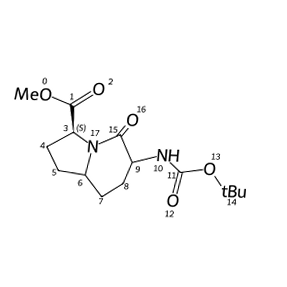 COC(=O)[C@@H]1CCC2CCC(NC(=O)OC(C)(C)C)C(=O)N21